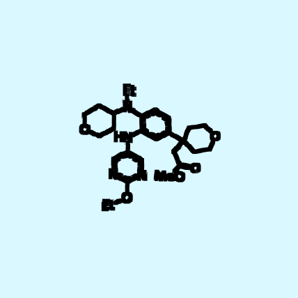 CCOc1ncc(Nc2cc(C3(CC(=O)OC)CCOCC3)ccc2N(CC)C2CCOCC2)cn1